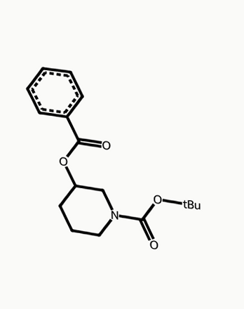 CC(C)(C)OC(=O)N1CCCC(OC(=O)c2ccccc2)C1